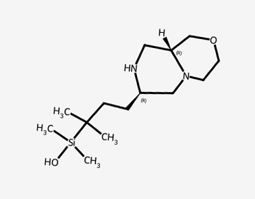 CC(C)(CC[C@@H]1CN2CCOC[C@H]2CN1)[Si](C)(C)O